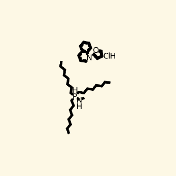 CCCCCCCC[PH](CCCCCCCC)(CCCCCCCC)NC.Cl.c1ccc2ncccc2c1.c1ccoc1